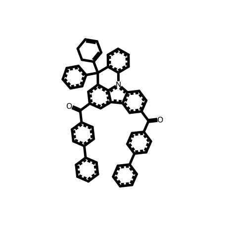 O=C(c1ccc(-c2ccccc2)cc1)c1ccc2c(c1)c1cc(C(=O)c3ccc(-c4ccccc4)cc3)cc3c1n2-c1ccccc1C3(C1=CC=CCC1)c1ccccc1